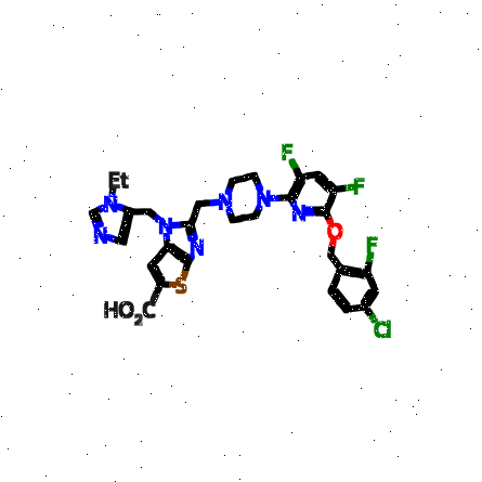 CCn1cncc1Cn1c(CN2CCN(c3nc(OCc4ccc(Cl)cc4F)c(F)cc3F)CC2)nc2sc(C(=O)O)cc21